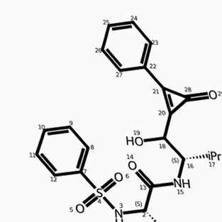 CC(C)C[C@H](NS(=O)(=O)c1ccccc1)C(=O)N[C@@H](C(C)C)C(O)c1c(-c2ccccc2)c1=O